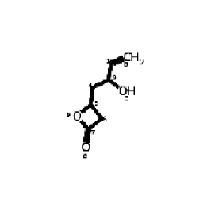 C=CC(O)CC1CC(=O)O1